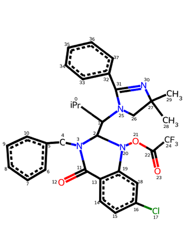 CC(C)C(C1N(Cc2ccccc2)C(=O)c2ccc(Cl)cc2N1OC(=O)C(F)(F)F)N1CC(C)(C)N=C1c1ccccc1